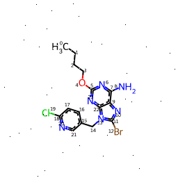 CCCCOc1nc(N)c2nc(Br)n(Cc3ccc(Cl)nc3)c2n1